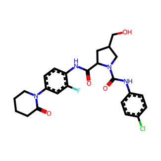 O=C(Nc1ccc(N2CCCCC2=O)cc1F)C1CC(CO)CN1C(=O)Nc1ccc(Cl)cc1